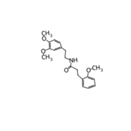 COc1ccccc1CCC(=O)NCCc1ccc(OC)c(OC)c1